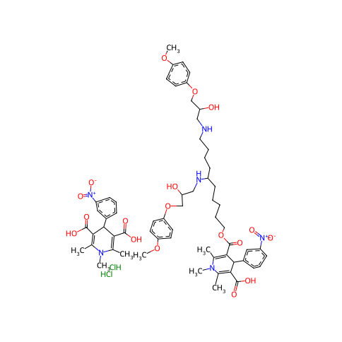 CC1=C(C(=O)O)C(c2cccc([N+](=O)[O-])c2)C(C(=O)O)=C(C)N1C.COc1ccc(OCC(O)CNCCCCC(CCCCCOC(=O)C2=C(C)N(C)C(C)=C(C(=O)O)C2c2cccc([N+](=O)[O-])c2)NCC(O)COc2ccc(OC)cc2)cc1.Cl.Cl